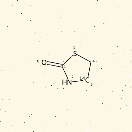 O=C1N[14CH2]CS1